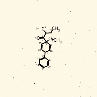 CCC(C)C(=O)C1(OC)C=CC(c2ccccc2)C=C1